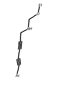 CCOCNCC#CC#CC(C)=O